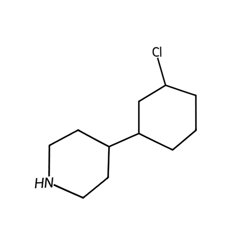 ClC1CCCC(C2CCNCC2)C1